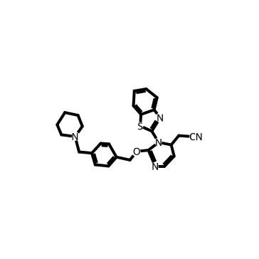 N#CCC1C=CN=C(OCc2ccc(CN3CCCCC3)cc2)N1c1nc2ccccc2s1